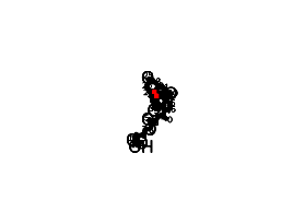 CC(CCC(=O)OCCCS(=O)(=O)O)C1CC[C@H]2[C@@H]3C(=O)CC4CC(=O)CC[C@]4(C)[C@H]3CC(=O)[C@]12C